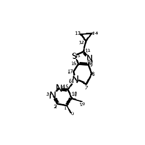 Cc1cnnc(N2CCc3nc(C4CC4)sc3C2)c1C